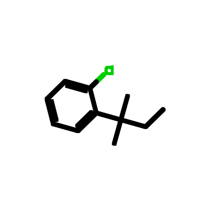 CCC(C)(C)c1ccccc1Cl